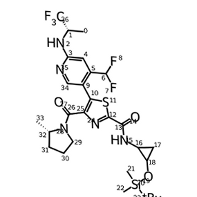 C[C@H](Nc1cc(C(F)F)c(-c2sc(C(=O)NC3CC3O[Si](C)(C)C(C)(C)C)nc2C(=O)N2CCC[C@@H]2C)cn1)C(F)(F)F